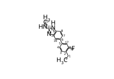 CCc1ccc(-c2ccc3[nH]c(NC)nc3c2)cc1F